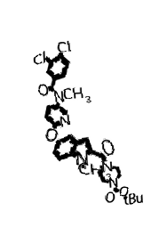 CN(C(=O)c1ccc(Cl)c(Cl)c1)c1ccc(Oc2ccc3c(c2)cc(C(=O)N2CCN(C(=O)OC(C)(C)C)CC2)n3C)nc1